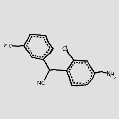 N#CC(c1cccc(C(F)(F)F)c1)c1ccc(N)cc1Cl